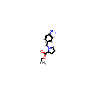 CCOC(=O)C1CCCN1Cc1ccc(N)cc1